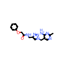 Cc1ncc(Cn2cc(CNC(=O)COc3ccccc3)nn2)c(N)n1